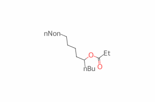 CCCCCCCCCCCCCC(CCCC)OC(=O)CC